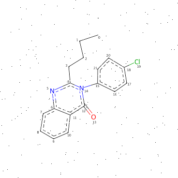 CCCCc1nc2ccccc2c(=O)n1-c1ccc(Cl)cc1